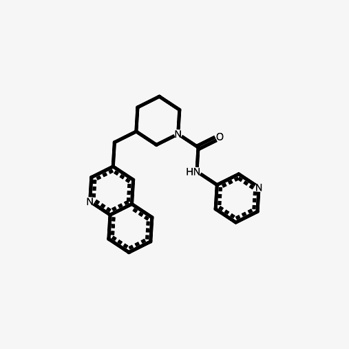 O=C(Nc1cccnc1)N1CCCC(Cc2cnc3ccccc3c2)C1